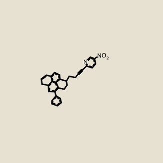 O=[N+]([O-])c1ccc(C#CCCC2CCc3c(-c4ccccc4)cc4c5c(ccc2c35)C=CC4)nc1